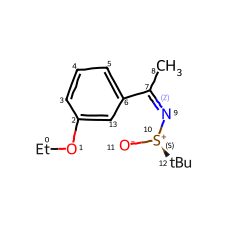 CCOc1cccc(/C(C)=N\[S@+]([O-])C(C)(C)C)c1